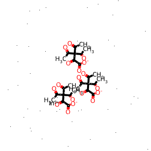 CC(=O)C(C(C)=O)(C(C)=O)C(=O)C(=O)[O-].CC(=O)C(C(C)=O)(C(C)=O)C(=O)C(=O)[O-].CC(=O)C(C(C)=O)(C(C)=O)C(=O)C(=O)[O-].[In+3]